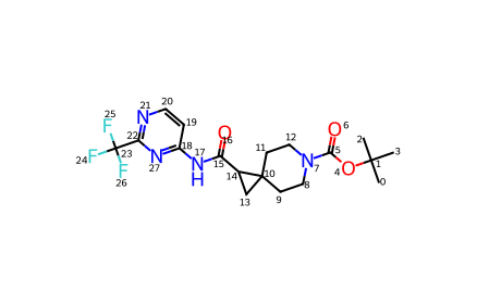 CC(C)(C)OC(=O)N1CCC2(CC1)CC2C(=O)Nc1ccnc(C(F)(F)F)n1